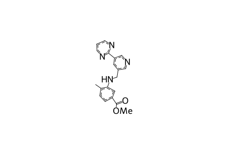 COC(=O)c1ccc(C)c(NCc2cncc(-c3ncccn3)c2)c1